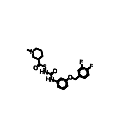 CN1CCCC(C(=O)SNC(=O)Nc2cccc(OCc3ccc(F)c(F)c3)c2)C1